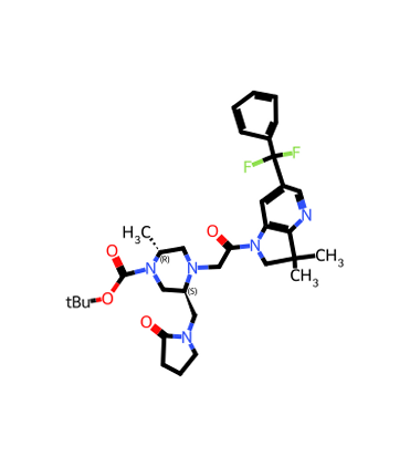 C[C@@H]1CN(CC(=O)N2CC(C)(C)c3ncc(C(F)(F)c4ccccc4)cc32)[C@@H](CN2CCCC2=O)CN1C(=O)OC(C)(C)C